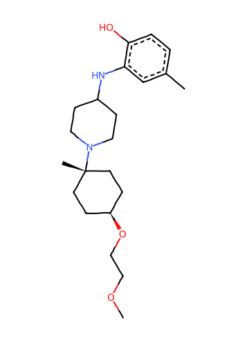 COCCO[C@H]1CC[C@](C)(N2CCC(Nc3cc(C)ccc3O)CC2)CC1